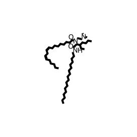 CCCCC/C=C\C/C=C\CCCCCCCC(=O)N(CCN(C)C)C(C(=O)NCCCCCCCCCCCCCCCCCC)C(CC)CCCC